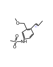 C/C=C/c1ccc(NS(C)(=O)=O)cc1COC